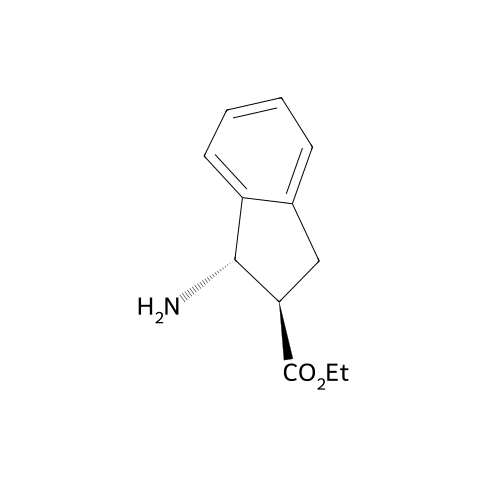 CCOC(=O)[C@@H]1Cc2ccccc2[C@H]1N